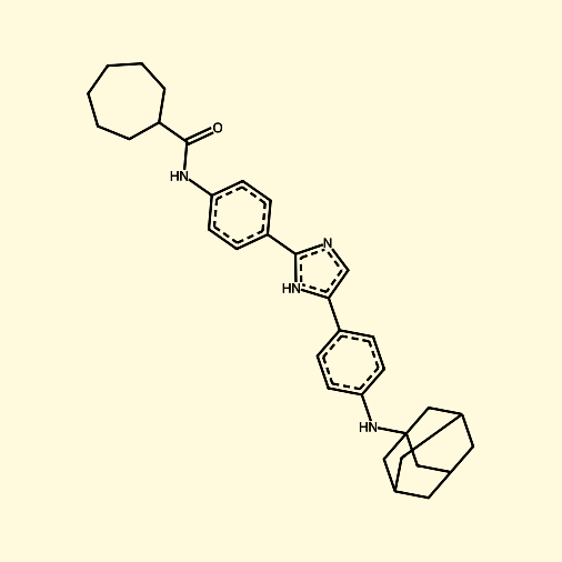 O=C(Nc1ccc(-c2ncc(-c3ccc(NC45CC6CC(CC(C6)C4)C5)cc3)[nH]2)cc1)C1CCCCCC1